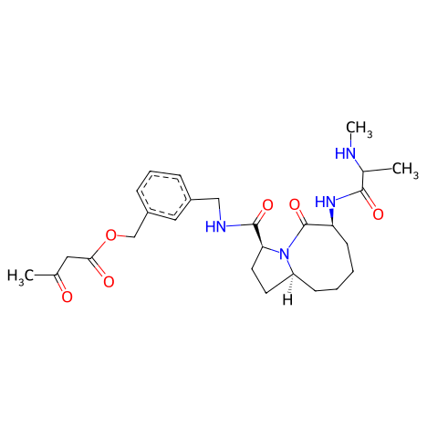 CNC(C)C(=O)N[C@H]1CCCC[C@H]2CC[C@@H](C(=O)NCc3cccc(COC(=O)CC(C)=O)c3)N2C1=O